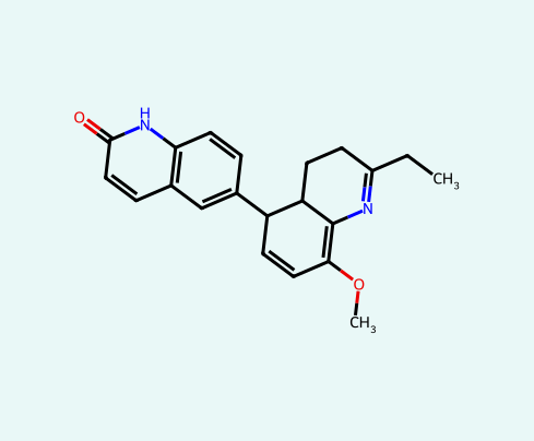 CCC1=NC2=C(OC)C=CC(c3ccc4[nH]c(=O)ccc4c3)C2CC1